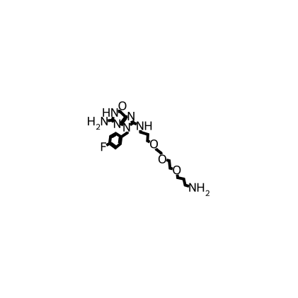 NCCCOCCOCCOCCCNc1nc2c(=O)[nH]c(N)nc2n1Cc1ccc(F)cc1